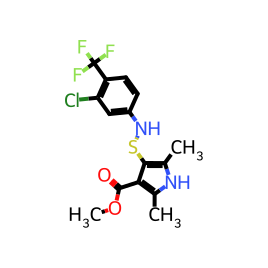 COC(=O)c1c(C)[nH]c(C)c1SNc1ccc(C(F)(F)F)c(Cl)c1